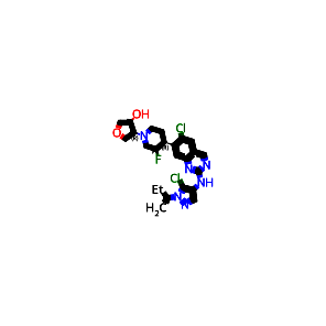 C=C(CC)n1ncc(Nc2ncc3cc(Cl)c([C@H]4CCN([C@@H]5COC[C@@H]5O)C[C@@H]4F)cc3n2)c1Cl